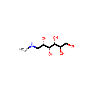 O=S(=O)(O)NC[C@H](O)[C@@H](O)[C@H](O)[C@H](O)CO